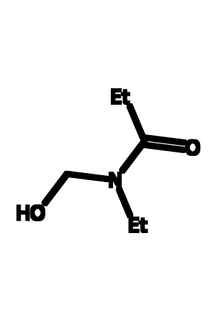 CCC(=O)N(CC)CO